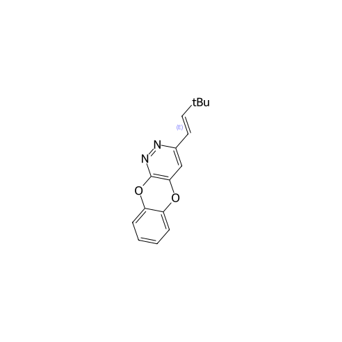 CC(C)(C)/C=C/c1cc2c(nn1)Oc1ccccc1O2